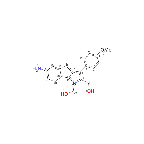 COc1ccc(-c2c(CO)n(CO)c3c2=CC2=CC(N)=CCC=32)cc1